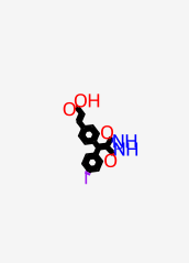 O=C(O)C=Cc1ccc(C(=C2C(=O)NNC2=O)c2ccc(I)cc2)cc1